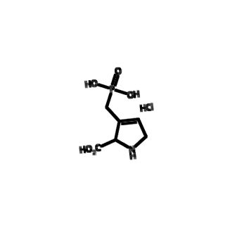 Cl.O=C(O)C1NCC=C1CP(=O)(O)O